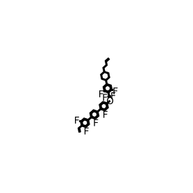 C=CCCC1CCC(c2cc(F)c(C(F)(F)Oc3ccc(-c4ccc(-c5cc(F)c(C=C)c(F)c5)c(F)c4)c(F)c3)c(F)c2)CC1